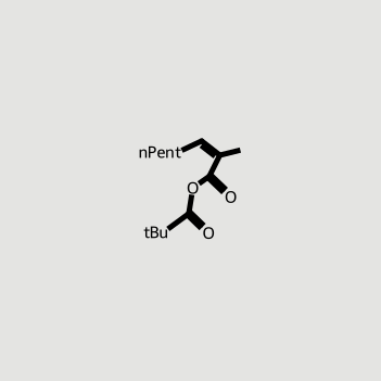 CCCCCC=C(C)C(=O)OC(=O)C(C)(C)C